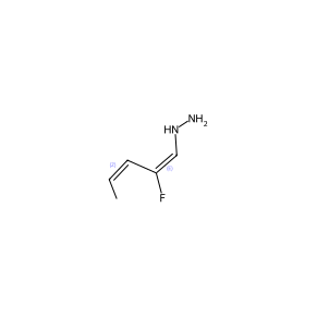 C/C=C\C(F)=C/NN